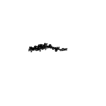 CCCCCCCCCCCCCCC(=O)NCCOCCOCC(=O)NCCCC[C@H](CC(=O)C(C)(C)CC(=O)C(C)(C)CC(=O)C(C)(C)NC(=O)[C@@H](N)Cc1cnc[nH]1)C(C)=O